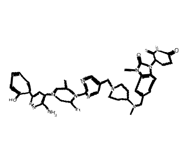 CCC1CN(c2cc(-c3ccccc3O)nnc2N)CC(C)N1c1ncc(CN2CCC(N(C)Cc3ccc4c(c3)n(C)c(=O)n4C3CCC(=O)NC3=O)CC2)cn1